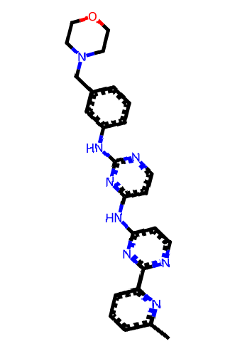 Cc1cccc(-c2nccc(Nc3ccnc(Nc4cccc(CN5CCOCC5)c4)n3)n2)n1